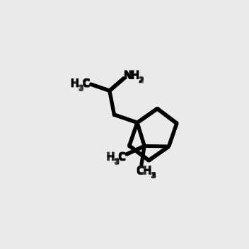 CC(N)CC12CCC(CC1)C2(C)C